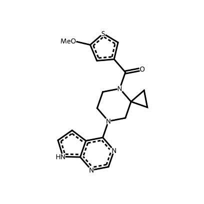 COc1cc(C(=O)N2CCN(c3ncnc4[nH]ccc34)CC23CC3)cs1